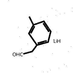 Cc1cccc(CC=O)c1.[LiH]